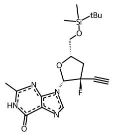 C#C[C@@]1(F)C[C@@H](CO[Si](C)(C)C(C)(C)C)O[C@H]1n1cnc2c(=O)[nH]c(C)nc21